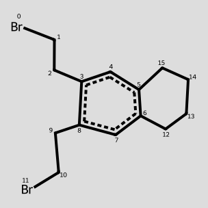 BrCCc1cc2c(cc1CCBr)CCCC2